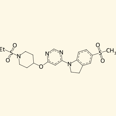 CCS(=O)(=O)N1CCC(Oc2cc(N3CCc4cc(S(C)(=O)=O)ccc43)ncn2)CC1